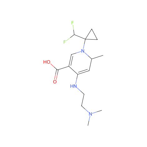 CC1C=C(NCCN(C)C)C(C(=O)O)=CN1C1(C(F)F)CC1